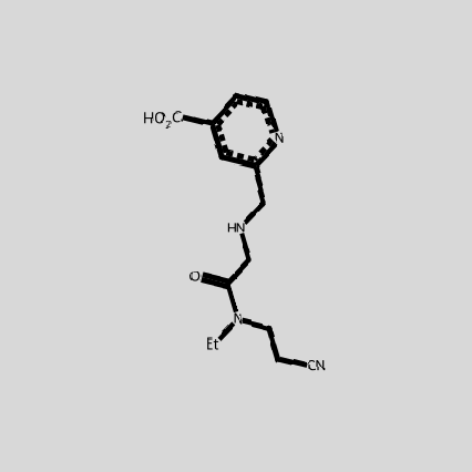 CCN(CCC#N)C(=O)CNCc1cc(C(=O)O)ccn1